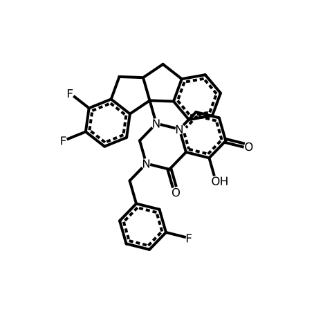 O=C1c2c(O)c(=O)ccn2N(C23c4ccccc4CC2Cc2c3ccc(F)c2F)CN1Cc1cccc(F)c1